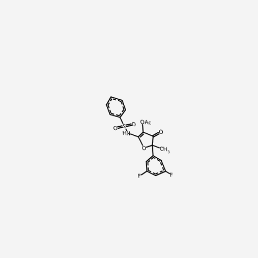 CC(=O)OC1=C(NS(=O)(=O)c2ccccc2)OC(C)(c2cc(F)cc(F)c2)C1=O